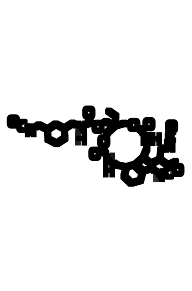 CCC(CN=C=O)CC1CNC(=O)OCC(CC)(COC(=O)NCC2CCCC(CN=C=O)C2)COC(=O)NCC2CCCC(CN=C=O)=C21